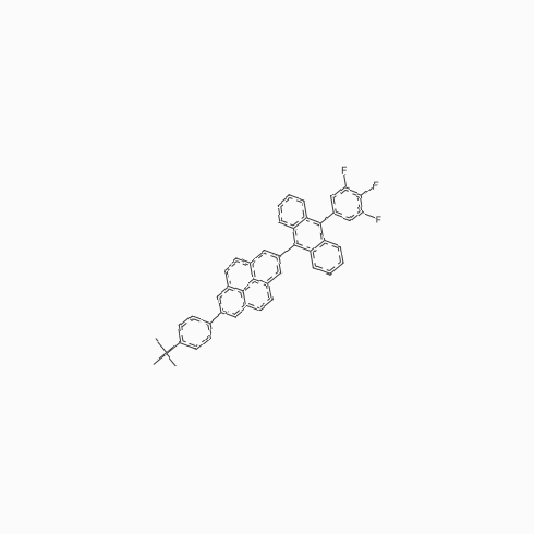 CC(C)(C)c1ccc(-c2cc3ccc4cc(-c5c6ccccc6c(-c6cc(F)c(F)c(F)c6)c6ccccc56)cc5ccc(c2)c3c45)cc1